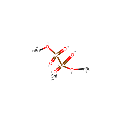 CCCCOS(=O)(=O)S(=O)(=O)OCCCC.[Sn]